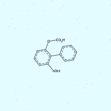 CCCCCCCCc1cccc(OC(=O)O)c1-c1ccccc1